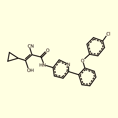 N#CC(C(=O)Nc1ccc(-c2ccccc2Oc2ccc(Cl)cc2)nc1)=C(O)C1CC1